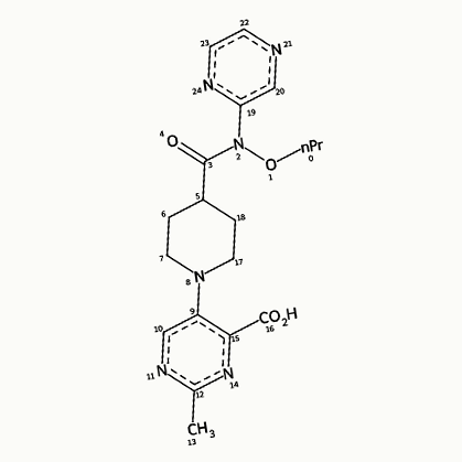 CCCON(C(=O)C1CCN(c2cnc(C)nc2C(=O)O)CC1)c1cnccn1